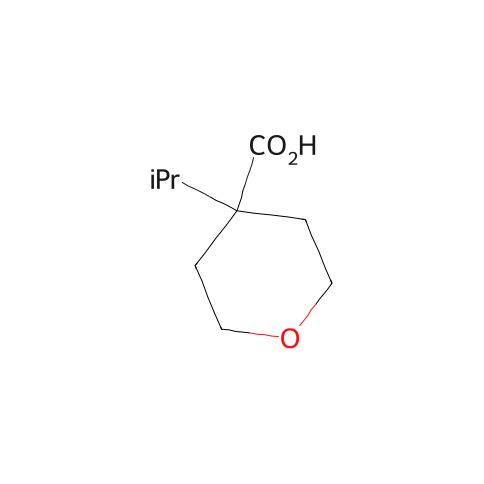 CC(C)C1(C(=O)O)CCOCC1